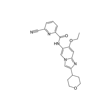 CCOc1cc2nc(C3CCOCC3)cn2cc1NC(=O)c1cccc(C#N)n1